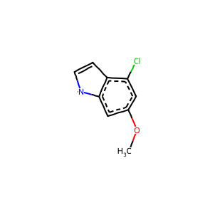 COc1cc(Cl)c2c(c1)[N]C=C2